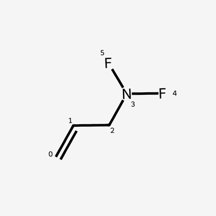 C=CCN(F)F